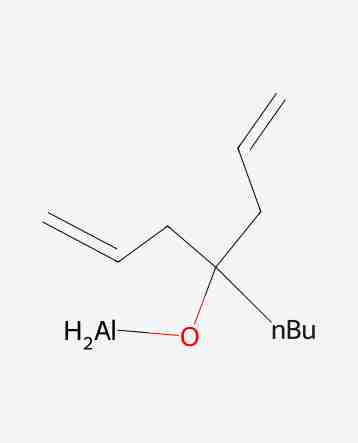 C=CCC(CC=C)(CCCC)[O][AlH2]